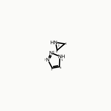 C1CN1.c1c[nH]nn1